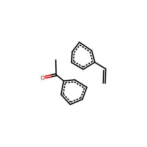 C=Cc1ccccc1.CC(=O)c1ccccc1